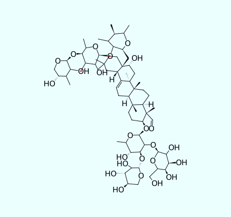 CC1O[C@@H](C[C@]23CCC(C)(C)C[C@H]2C2=CC[C@@H]4[C@@]5(C)CC[C@H](O[C@@H]6OC(C)[C@@H](O)[C@H](O[C@@H]7OC[C@@H](O)[C@H](O)C7O)C6O[C@@H]6OC(CO)[C@H](O)[C@H](O)C6O)[C@@](C)(C=O)[C@@H]5CC[C@@]4(C)[C@]2(C)C[C@H]3O)C(O[C@@H]2OC(C)[C@H](O[C@@H]3OC[C@@H](O)C(C)C3O)C(C)C2O)C(C)[C@H]1C